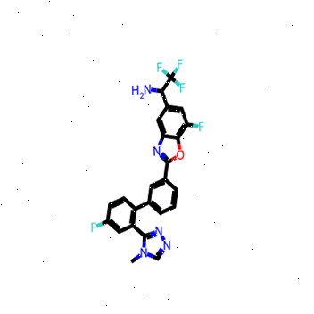 Cn1cnnc1-c1cc(F)ccc1-c1cccc(-c2nc3cc(C(N)C(F)(F)F)cc(F)c3o2)c1